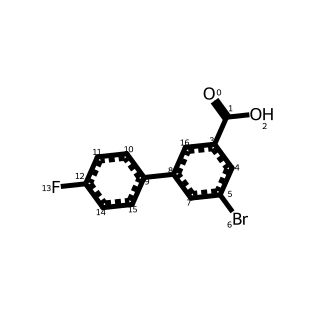 O=C(O)c1cc(Br)cc(-c2ccc(F)cc2)c1